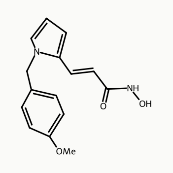 COc1ccc(Cn2cccc2C=CC(=O)NO)cc1